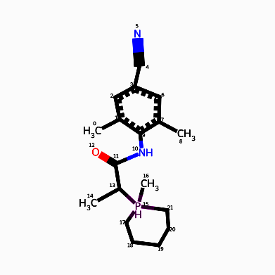 Cc1cc(C#N)cc(C)c1NC(=O)C(C)[PH]1(C)CCCCC1